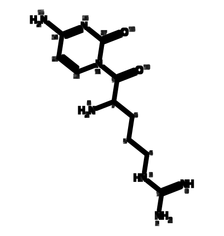 N=C(N)NCCCC(N)C(=O)n1ccc(N)nc1=O